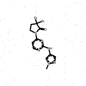 CCC1(CC)CCN(c2ccnc(Nc3cnn(C)c3)n2)C1=O